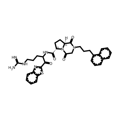 N=C(N)NCCCC(NC(=O)[C@@H]1CC[C@H]2C(=O)N(CCCc3cccc4ccccc34)CC(=O)N12)C(=O)c1nc2ccccc2s1